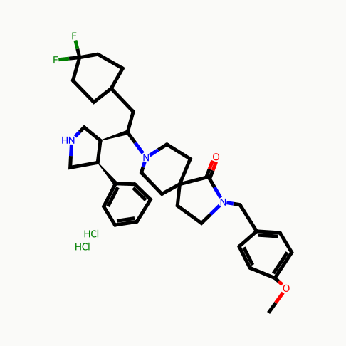 COc1ccc(CN2CCC3(CCN(C(CC4CCC(F)(F)CC4)[C@@H]4CNC[C@@H]4c4ccccc4)CC3)C2=O)cc1.Cl.Cl